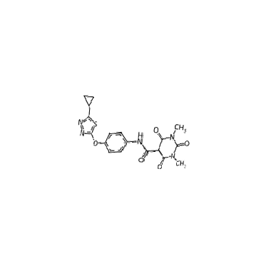 CN1C(=O)C(C(=O)Nc2ccc(Oc3nnc(C4CC4)s3)cc2)C(=O)N(C)C1=O